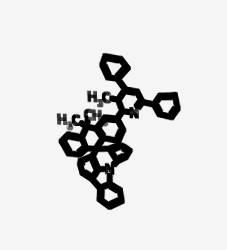 CC1C(c2ccccc2)=CC(c2ccccc2)=NC1c1ccc2c(c1)C(C)(C)c1ccccc1C21c2ccccc2-n2c3ccccc3c3cccc1c32